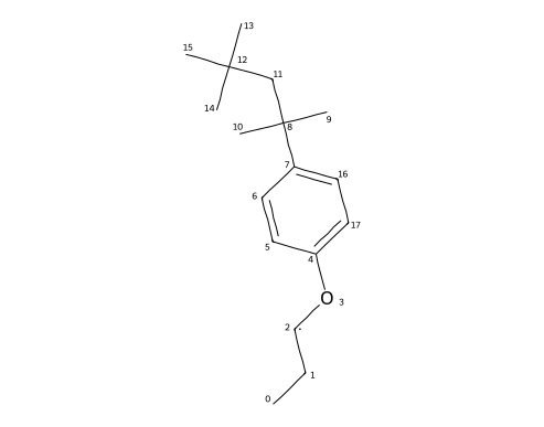 CC[CH]Oc1ccc(C(C)(C)CC(C)(C)C)cc1